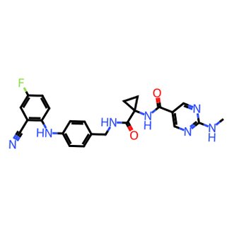 CNc1ncc(C(=O)NC2(C(=O)NCc3ccc(Nc4ccc(F)cc4C#N)cc3)CC2)cn1